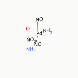 N.N.O=[N+]([O-])[O-].O=[N][Pd][N]=O